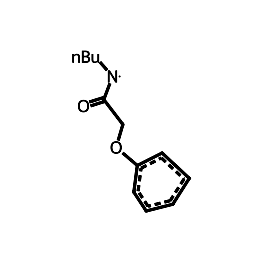 CCCC[N]C(=O)COc1ccccc1